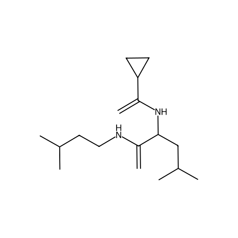 C=C(NC(CC(C)C)C(=C)NCCC(C)C)C1CC1